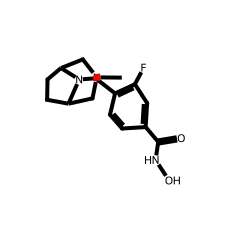 CN1CC2CCC(C1)N2Cc1ccc(C(=O)NO)cc1F